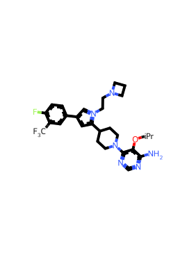 CC(C)Oc1c(N)ncnc1N1CCC(c2cc(-c3ccc(F)c(C(F)(F)F)c3)cn2CCN2CCC2)CC1